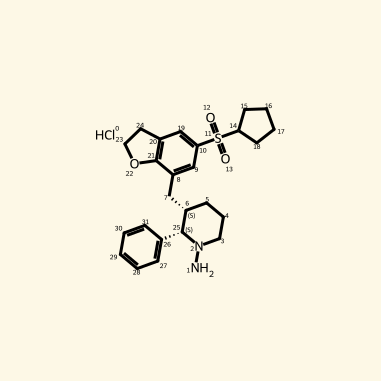 Cl.NN1CCC[C@@H](Cc2cc(S(=O)(=O)C3CCCC3)cc3c2OCC3)[C@H]1c1ccccc1